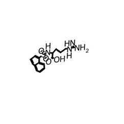 N=C(N)NCCCC(NS(=O)(=O)c1cccc2ccccc12)C(=O)O